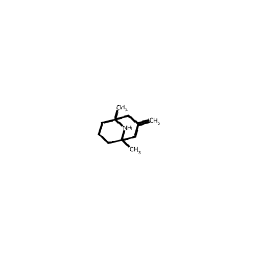 C=C1CC2(C)CCCC(C)(C1)N2